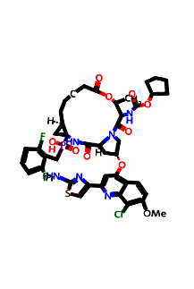 COc1ccc2c(O[C@@H]3C[C@H]4C(=O)N[C@]5(P(=O)(O)Cc6c(F)cccc6F)C[C@H]5CCCCC(=O)OC(C)C(NC(=O)OC5CCCC5)C(=O)N4C3)cc(-c3csc(NC(C)C)n3)nc2c1Cl